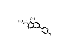 O=C(O)c1ncc2cc(-c3ccc(F)cc3)ccc2c1O